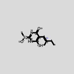 CC/C(C)=C/c1c(S)[nH]c([S+](C)[O-])nc1=O